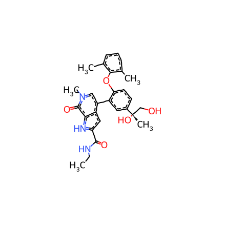 CCNC(=O)c1cc2c(-c3cc([C@@](C)(O)CO)ccc3Oc3c(C)cccc3C)cn(C)c(=O)c2[nH]1